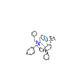 CCOC(=O)CC(c1cc(-c2ccccc2)ccc1F)N(Cc1ccccc1)C(C)c1ccccc1